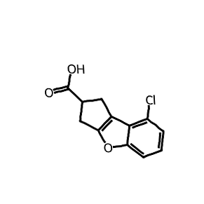 O=C(O)C1Cc2oc3cccc(Cl)c3c2C1